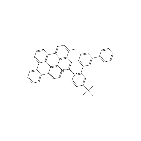 Cc1ccc(-c2ccccc2)cc1-c1cc(C(C)(C)C)cc[n+]1-c1cc2c(C)ccc3c4cccc5c6ccccc6c6cc[n+]1c(c23)c6c54